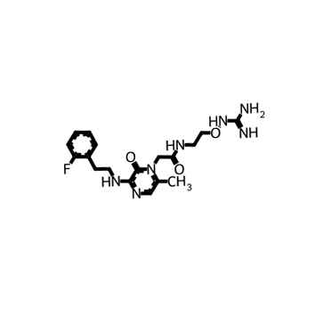 Cc1cnc(NCCc2ccccc2F)c(=O)n1CC(=O)NCCONC(=N)N